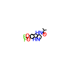 CC(C)C(=O)NC1CCNC2=C1Cc1cc3c(cc12)OC(F)(F)O3